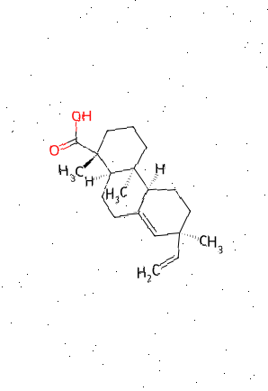 C=C[C@@]1(C)C=C2CC[C@@H]3[C@@](C)(CCC[C@@]3(C)C(=O)O)[C@H]2CC1